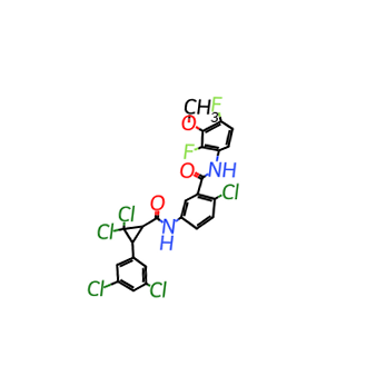 COc1c(F)ccc(NC(=O)c2cc(NC(=O)C3C(c4cc(Cl)cc(Cl)c4)C3(Cl)Cl)ccc2Cl)c1F